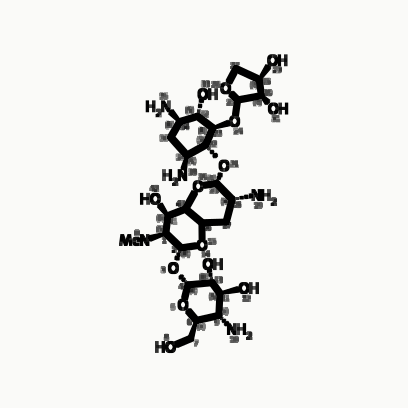 CN[C@@H]1[C@@H](O[C@H]2O[C@H](CO)[C@@H](N)[C@H](O)[C@H]2O)OC2C[C@@H](N)[C@@H](O[C@H]3[C@H](OC4OC[C@@H](O)[C@H]4O)[C@@H](O)[C@H](N)C[C@@H]3N)OC2[C@@H]1O